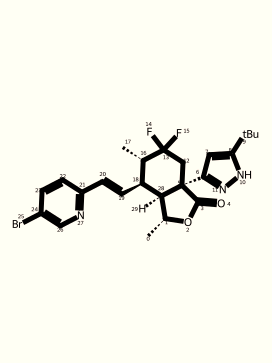 C[C@H]1OC(=O)[C@]2(c3cc(C(C)(C)C)[nH]n3)CC(F)(F)[C@@H](C)[C@H](/C=C/c3ccc(Br)cn3)[C@H]12